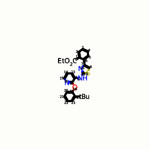 CCOC(=O)c1ccccc1-c1csc(Nc2cccnc2Oc2ccccc2C(C)(C)C)n1